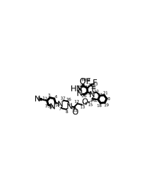 N#Cc1ccc(N2CCN(C(=O)CCOC[C@H]3c4ccccc4CN3c3cn[nH]c(=O)c3C(F)(F)F)CC2)nc1